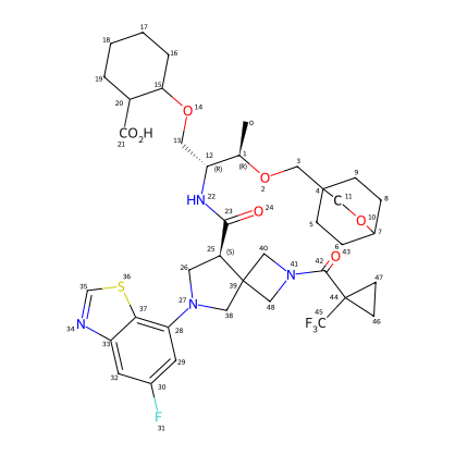 C[C@@H](OCC12CCC(CC1)OC2)[C@@H](COC1CCCCC1C(=O)O)NC(=O)[C@@H]1CN(c2cc(F)cc3ncsc23)CC12CN(C(=O)C1(C(F)(F)F)CC1)C2